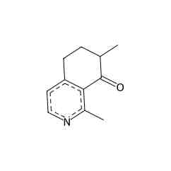 Cc1nccc2c1C(=O)C(C)CC2